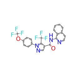 O=C(Nc1nccc2ccccc12)c1cnn(-c2ccc(OC(F)(F)F)cc2)c1C(F)(F)F